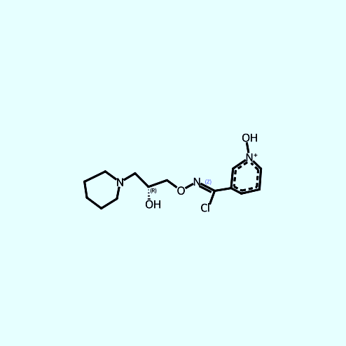 O[C@@H](CO/N=C(\Cl)c1ccc[n+](O)c1)CN1CCCCC1